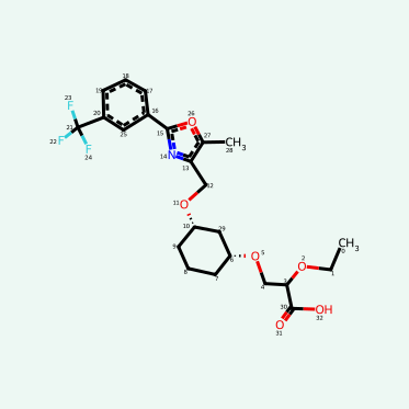 CCOC(CO[C@@H]1CCC[C@H](OCc2nc(-c3cccc(C(F)(F)F)c3)oc2C)C1)C(=O)O